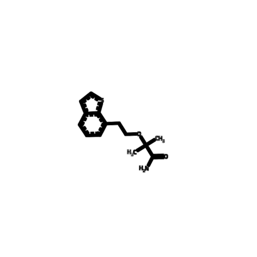 CC(C)(OCCc1cccc2ccsc12)C(N)=O